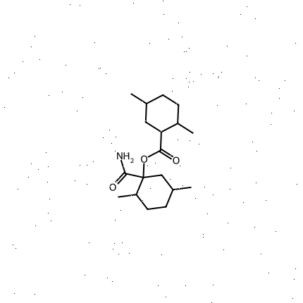 CC1CCC(C)C(C(=O)OC2(C(N)=O)CC(C)CCC2C)C1